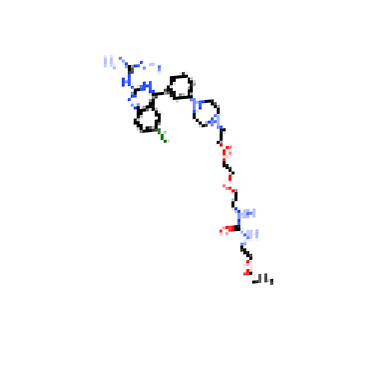 COCCNC(=O)NCCOCCOCCN1CCN(c2cccc(-c3nc(N=C(N)N)nc4ccc(Cl)cc34)c2)CC1